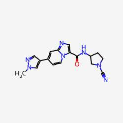 Cn1cc(-c2ccn3c(C(=O)NC4CCN(C#N)C4)cnc3c2)cn1